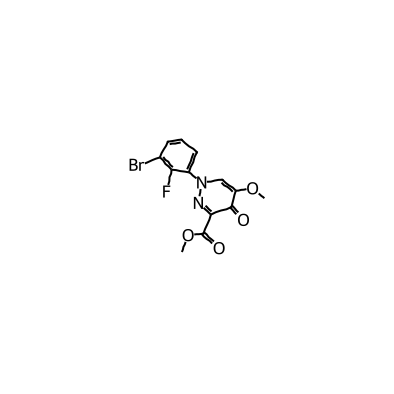 COC(=O)c1nn(-c2cccc(Br)c2F)cc(OC)c1=O